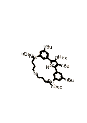 CCCCCCC1=C(c2cc(CCCC)cc(CCCC)c2)[N+](=[N-])C(c2cc(CCCC)cc(CCCC)c2)=C1CCCC.CCCCCCCCCCCCC[CH2][Ni][CH2]CCCCCCCCCCCCC